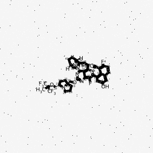 C#Cc1c(F)ccc2cc(O)cc(-c3nc4c5c(nc(OC[C@@]67CCCN6[C@H](COC(C)(C(F)(F)F)C(F)(F)F)CC7)nc5c3F)N3C[C@@H]5CC[C@@H](N5)[C@H]3CC4)c12